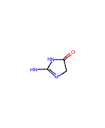 [NH]C1=NCC(=O)N1